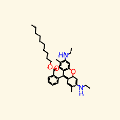 CCCCCCCCCCOC(=O)c1ccccc1C1=C2C=C(C)C(NCC)=CC2Oc2cc(NCC)c(C)cc21